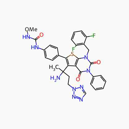 CONC(=O)Nc1ccc(-c2sc3c(c2C(C)(N)CCn2ncnn2)c(=O)n(-c2ccccc2)c(=O)n3Cc2c(F)cccc2F)cc1